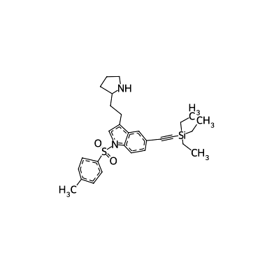 CC[Si](C#Cc1ccc2c(c1)c(CCC1CCCN1)cn2S(=O)(=O)c1ccc(C)cc1)(CC)CC